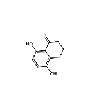 O=C1CCCc2c(O)ccc(O)c21